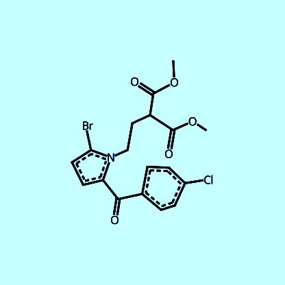 COC(=O)C(CCn1c(Br)ccc1C(=O)c1ccc(Cl)cc1)C(=O)OC